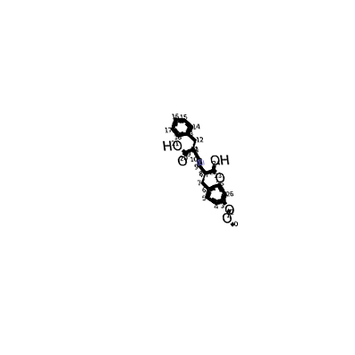 COOc1ccc(C[C@@H](/C=C/[C@H](Cc2ccccc2)C(=O)O)C(=O)O)cc1